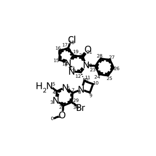 COc1nc(N)nc(N2CC[C@H]2c2nn3ccc(Cl)c3c(=O)n2-c2ccccc2)c1Br